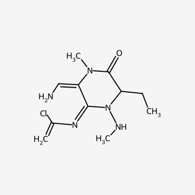 C=C(Cl)/N=C1\C(=C/N)N(C)C(=O)C(CC)N1NC